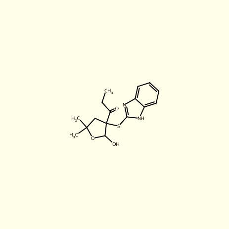 CCC(=O)C1(Sc2nc3ccccc3[nH]2)CC(C)(C)OC1O